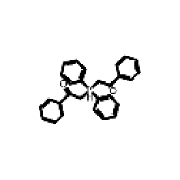 O=C(C[PH](CC(=O)c1ccccc1)(c1ccccc1)c1ccccc1)c1ccccc1